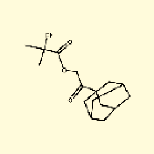 CCC(C)(C)C(=O)OCC(=O)C12CC3CC(CC(C3)C1)C2